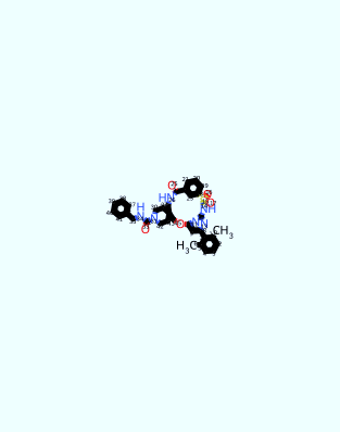 Cc1cccc(C)c1-c1cc2nc(n1)NS(=O)(=O)c1cccc(c1)C(=O)NCC1(CCN(C(=O)NCc3ccccc3)CC1)CO2